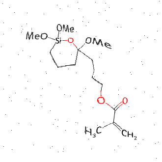 C=C(C)C(=O)OCCCC1(OC)CCC[Si](OC)(OC)O1